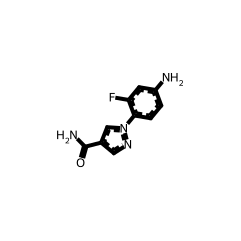 NC(=O)c1cnn(-c2ccc(N)cc2F)c1